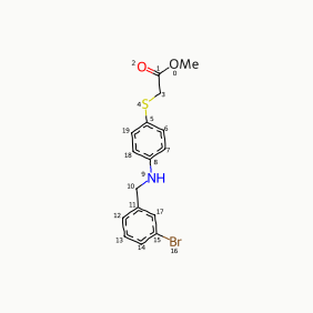 COC(=O)CSc1ccc(NCc2cccc(Br)c2)cc1